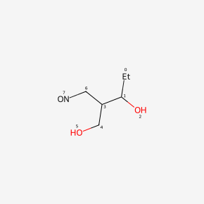 CCC(O)C(CO)CN=O